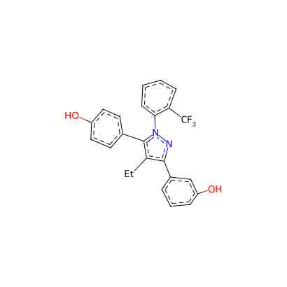 CCc1c(-c2cccc(O)c2)nn(-c2ccccc2C(F)(F)F)c1-c1ccc(O)cc1